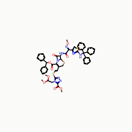 CON=C(C(=O)NC1C(=O)N2C(C(=O)OC(c3ccccc3)c3ccccc3)=C(C=CSc3nnc(C(=O)OC)n3CC(OC)OC)CSC12)c1csc(NC(c2ccccc2)(c2ccccc2)c2ccccc2)n1